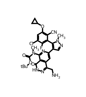 CN(C(=O)OC(C)(C)C)c1nc(-c2cnn(C)c2-c2c(F)c(Cl)cc(OC3CC3)c2C#N)cc2c(CN)n[nH]c(=O)c12